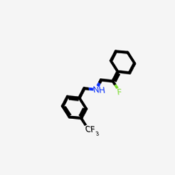 FC(CNCc1cccc(C(F)(F)F)c1)=C1CCCCC1